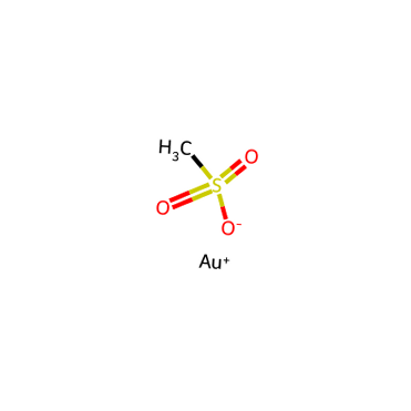 CS(=O)(=O)[O-].[Au+]